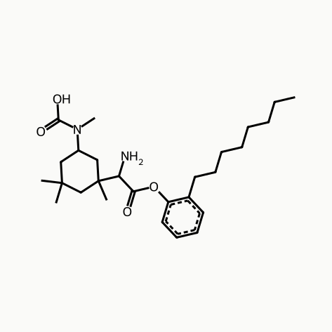 CCCCCCCCc1ccccc1OC(=O)C(N)C1(C)CC(N(C)C(=O)O)CC(C)(C)C1